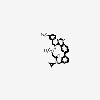 COCC(=O)N(Cc1cccc(-c2ccc3ncnc(NCc4cccc(C)c4)c3c2)c1)C1CC1